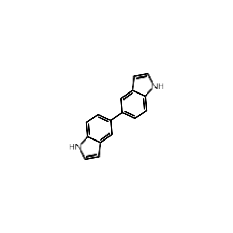 c1cc2cc(-c3ccc4[nH]ccc4c3)ccc2[nH]1